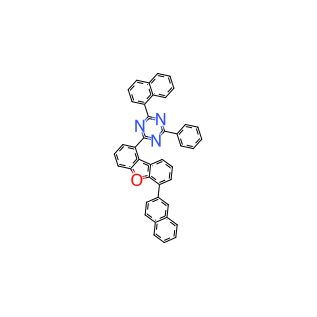 c1ccc(-c2nc(-c3cccc4ccccc34)nc(-c3cccc4oc5c(-c6ccc7ccccc7c6)cccc5c34)n2)cc1